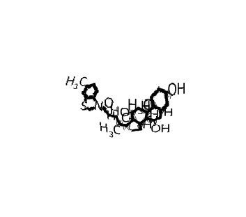 Cc1ccc2c(c1)SCN2C(=O)CC[C@@H](C)[C@H]1CC[C@H]2[C@@H]3[C@H](O)C[C@@H]4C[C@H](O)CC[C@]4(C)[C@H]3C[C@H](O)[C@]12C